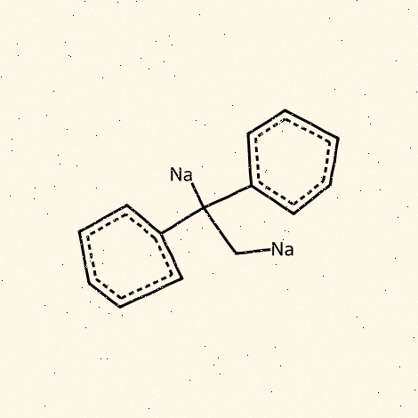 [Na][CH2][C]([Na])(c1ccccc1)c1ccccc1